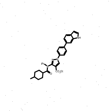 CCOC(=O)c1cn(-c2ccc(-c3ccc4cc[nH]c4c3)cc2)nc1N(C(=O)C1CCC(C)CC1)C(C)C